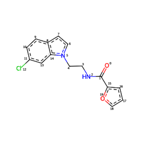 O=C(NCCn1ccc2ccc(Cl)cc21)c1ccco1